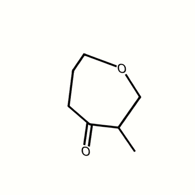 CC1COCCCC1=O